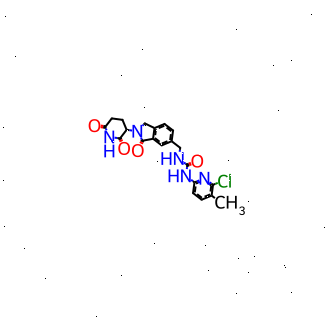 Cc1ccc(NC(=O)NCc2ccc3c(c2)C(=O)N(C2CCC(=O)NC2=O)C3)nc1Cl